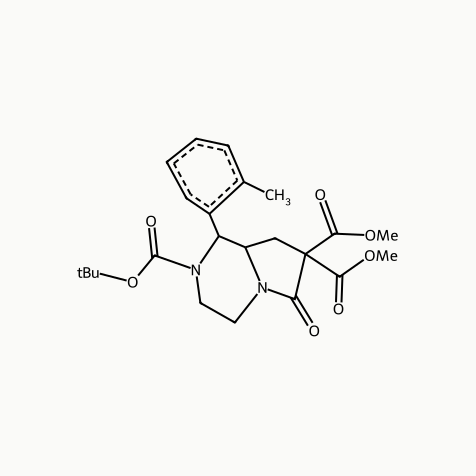 COC(=O)C1(C(=O)OC)CC2C(c3ccccc3C)N(C(=O)OC(C)(C)C)CCN2C1=O